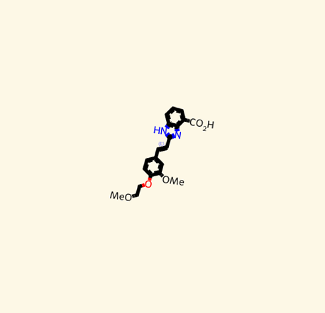 COCCOc1ccc(/C=C/c2nc3c(C(=O)O)cccc3[nH]2)cc1OC